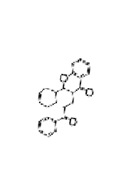 O=C(CCC1C(=O)c2ccccc2OC1C1CC=CCC1)c1ccccc1